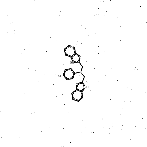 [Cr].c1ccc(N(Cc2nc3ccccc3[nH]2)Cc2nc3ccccc3[nH]2)cc1